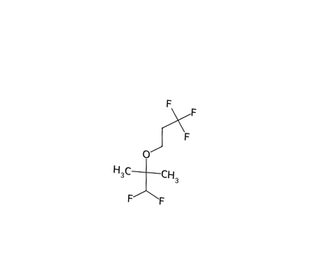 CC(C)(OCCC(F)(F)F)C(F)F